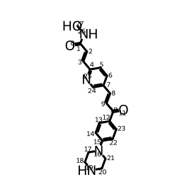 O=C(/C=C/c1ccc(/C=C/C(=O)c2ccc(N3CCNCC3)cc2)cn1)NO